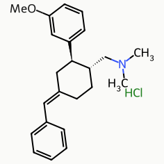 COc1cccc([C@@H]2C/C(=C/c3ccccc3)CC[C@H]2CN(C)C)c1.Cl